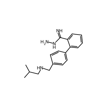 CC(C)CNCc1ccc(-c2ccccc2C(=N)NN)cc1